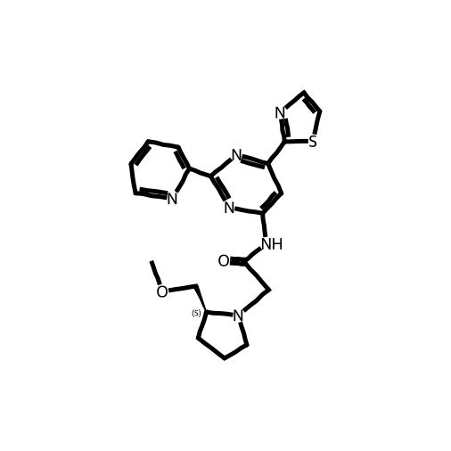 COC[C@@H]1CCCN1CC(=O)Nc1cc(-c2nccs2)nc(-c2ccccn2)n1